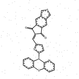 O=C1C(=Cc2ccc(N3c4ccccc4Sc4cccnc43)s2)C(=O)c2cc3cscc3cc21